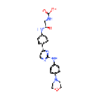 O=C(O)NCC(=O)Nc1ccc(-c2ccnc(Nc3ccc(N4CCOCC4)cc3)n2)cc1